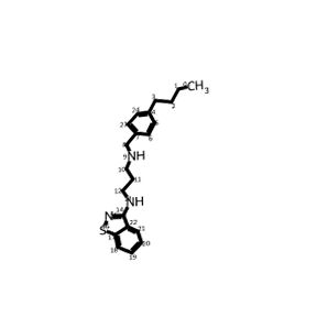 CCCCc1ccc(CNCCCNc2nsc3ccccc23)cc1